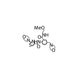 COCCNC(=O)c1cc(CN2CCOCC2)ccc1NC(=O)c1csc(N2CCOCC2)n1